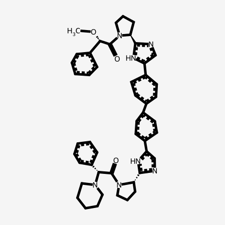 CO[C@H](C(=O)N1CCC[C@H]1c1ncc(-c2ccc(-c3ccc(-c4cnc([C@@H]5CCCN5C(=O)[C@@H](c5ccccc5)N5CCCCC5)[nH]4)cc3)cc2)[nH]1)c1ccccc1